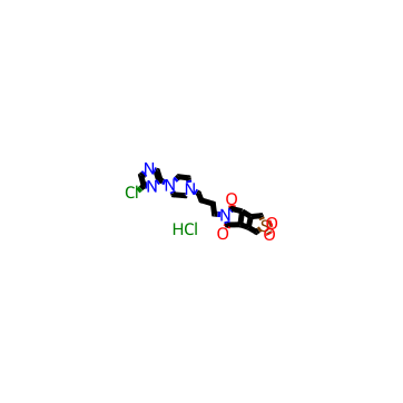 Cl.O=C1C2C3CS(=O)(=O)CC3C2C(=O)N1CCCCN1CCN(c2cncc(Cl)n2)CC1